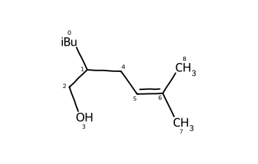 CCC(C)C(CO)CC=C(C)C